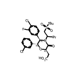 CC(C)C(CS(=O)(=O)C(C)(C)C)N1C(=O)[C@@H](CC(=O)O)O[C@H](c2cccc(Cl)c2)[C@H]1c1ccc(Cl)c(F)c1